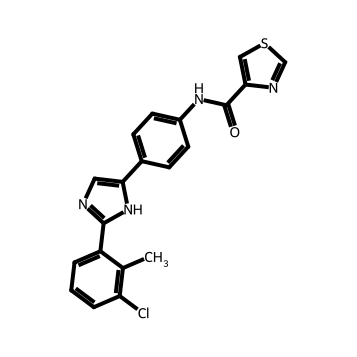 Cc1c(Cl)cccc1-c1ncc(-c2ccc(NC(=O)c3cscn3)cc2)[nH]1